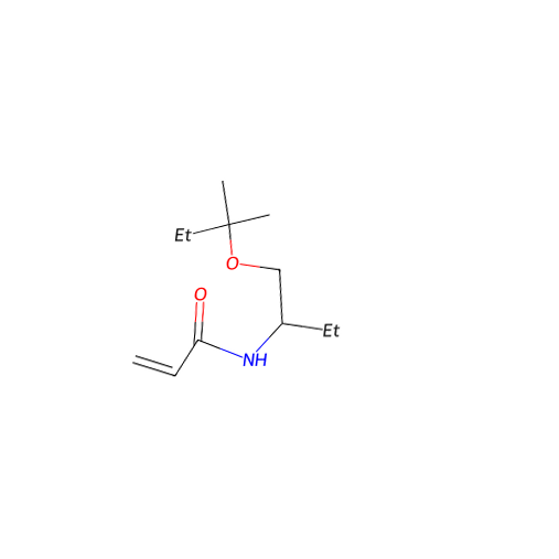 C=CC(=O)NC(CC)COC(C)(C)CC